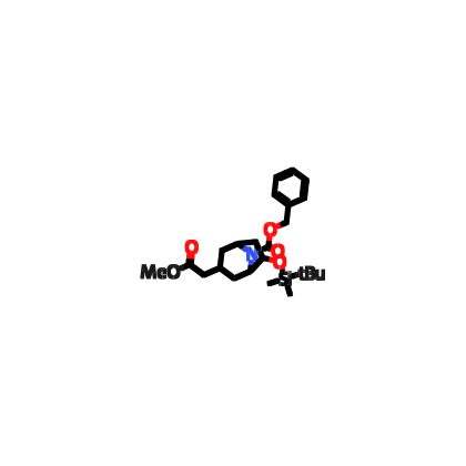 COC(=O)CC1CC2CC(O[Si](C)(C)C(C)(C)C)C(C1)N2C(=O)OCc1ccccc1